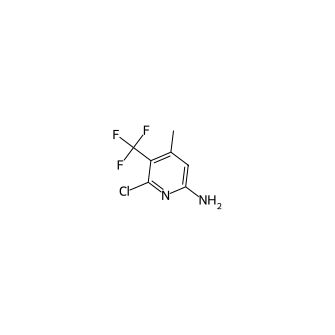 Cc1cc(N)nc(Cl)c1C(F)(F)F